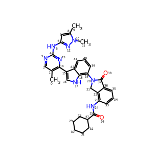 Cc1cnc(Nc2cc(C)n(C)n2)nc1-c1c[nH]c2c(N3Cc4c(NC(=O)C5CCCCC5)cccc4C3=O)cccc12